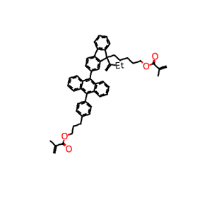 C=C(C)C(=O)OCCCCCC1(C(=C)CC)c2ccccc2-c2ccc(-c3c4ccccc4c(-c4ccc(CCCOC(=O)C(=C)C)cc4)c4ccccc34)cc21